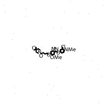 CNc1ccc(Oc2ncnc3cc(OCCCC(=O)N4CCC5(CC4)COC5)c(OC)cc23)cc1Cl